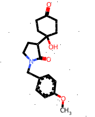 COc1ccc(CN2CCC(C3(O)CCC(=O)CC3)C2=O)cc1